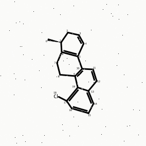 C[C@H]1CC=CC2=C1CCc1c2ccc2cccc(Cl)c12